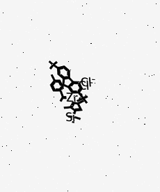 CC1=[C](/[Zr+2](=[C](\C)c2ccc(C)cc2)[c]2c(C(C)(C)C)ccc3c2Cc2cc(C(C)(C)C)ccc2-3)C(C)C=C1[Si](C)(C)C.[Cl-].[Cl-]